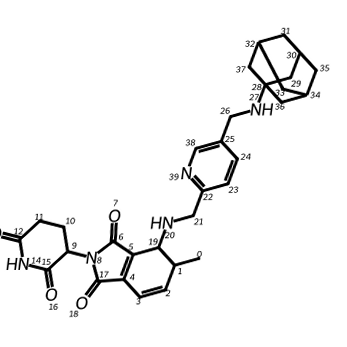 CC1C=CC2=C(C(=O)N(C3CCC(=O)NC3=O)C2=O)C1NCc1ccc(CNC23CC4CC(CC(C4)C2)C3)cn1